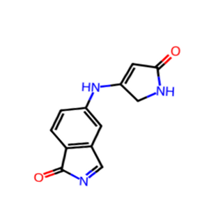 O=C1C=C(Nc2ccc3c(c2)C=NC3=O)CN1